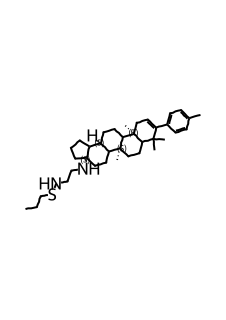 CCCSNCCN[C@]12CCCC1[C@H]1CCC3[C@@](C)(CCC4C(C)(C)C(c5ccc(C)cc5)=CC[C@@]43C)C1CC2